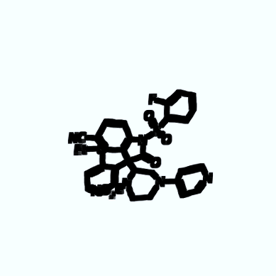 CCOc1ccccc1C1(C2CN(c3ccncc3)CCN2C(=O)O)C(=O)N(S(=O)(=O)c2ccccc2F)c2ccc(C#N)cc21